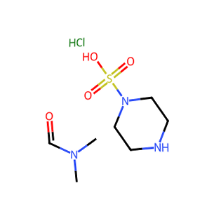 CN(C)C=O.Cl.O=S(=O)(O)N1CCNCC1